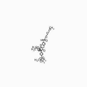 COCCOCCOCC(=O)Nc1ccc(CC(NC(=O)OC(C)(C)C)C(=O)Nc2ccc(C(=O)OC(C)(C)C)cc2)cc1